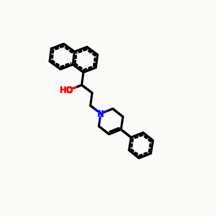 OC(CCN1CC=C(c2ccccc2)CC1)c1cccc2ccccc12